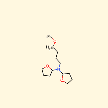 CC(C)O[SiH2]CCCN(C1CCCO1)C1CCCO1